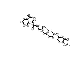 Cc1ccc(OC2CCN(C[C@H](O)CNC(=O)c3c[nH]c(=O)c4ccccc34)CC2)cc1Cl